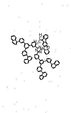 CC1(C)c2ccccc2-c2cc3c(cc21)N(c1nc(-c2cccc(-c4cc(-c5cccc(-c6cccc7ccccc67)c5)cc(-c5cccc(-c6cccc7ccccc67)c5)c4)c2)nc(-c2cccc(-c4cc(-c5cccc(-c6cccc7ccccc67)c5)cc(-c5cccc(-c6cccc7ccccc67)c5)c4)c2)n1)C1C=CC=CC1O3